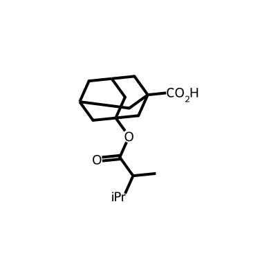 CC(C)C(C)C(=O)OC12CC3CC(C1)CC(C(=O)O)(C3)C2